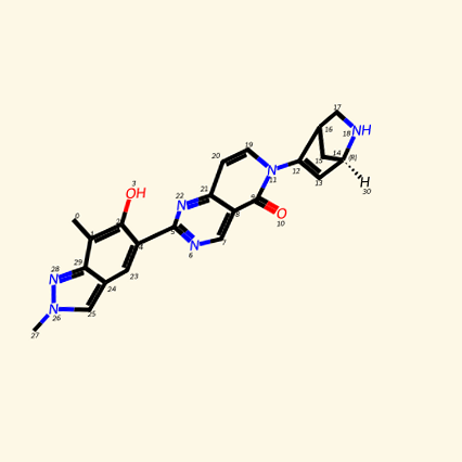 Cc1c(O)c(-c2ncc3c(=O)n(C4=C[C@H]5CC4CN5)ccc3n2)cc2cn(C)nc12